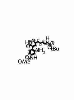 COC(=O)Nc1ccc(-c2cc(CCC=CNC(=O)OC(C)(C)C)n[nH]c2=O)c(N)c1